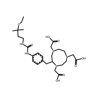 CCOC(C)(C)CCNC(=S)Nc1ccc(CC2CN(CC(=O)O)CCN(CC(=O)O)CCN2CC(=O)O)cc1